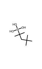 CC(C)(C)CC(C)(C)[Si](O)(O)O